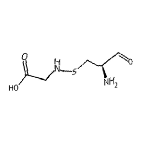 N[C@H](C=O)CSNCC(=O)O